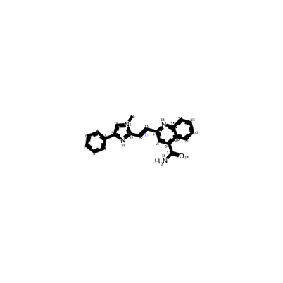 Cn1cc(-c2ccccc2)nc1/C=C/c1cc(C(N)=O)c2ccccc2n1